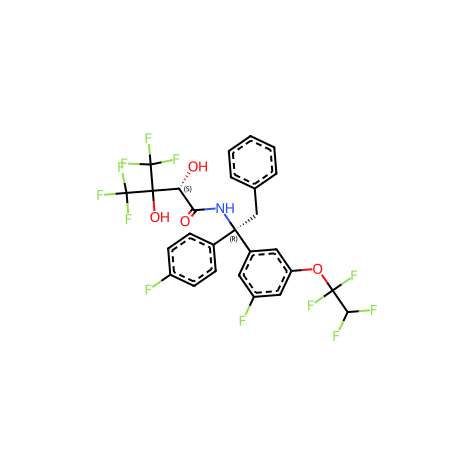 O=C(N[C@](Cc1ccccc1)(c1ccc(F)cc1)c1cc(F)cc(OC(F)(F)C(F)F)c1)[C@@H](O)C(O)(C(F)(F)F)C(F)(F)F